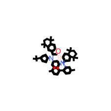 Cc1ccc(-c2ccc(C)cc2N2c3cc4c(cc3B3c5oc6cc7c(cc6c5N(c5ccc(C(C)(C)C)cc5)c5cc(C)cc2c53)C(C)(C)CCC7(C)C)C(C)(C)CCC4(C)C)cc1